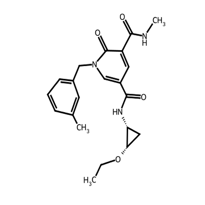 CCO[C@H]1C[C@H]1NC(=O)c1cc(C(=O)NC)c(=O)n(Cc2cccc(C)c2)c1